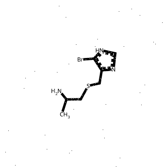 CC(N)CSCc1nc[nH]c1Br